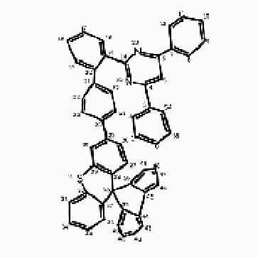 c1ccc(-c2cc(-c3ccccc3)nc(-c3ccccc3-c3ccc(-c4ccc5c(c4)Sc4ccccc4C54c5ccccc5-c5ccccc54)cc3)n2)cc1